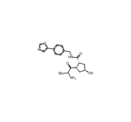 CC(C)(C)C(N)C(=O)N1C[C@H](O)C[C@H]1C(=O)NCc1ccc(-c2cncs2)cc1